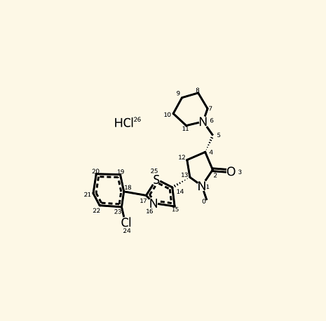 CN1C(=O)[C@@H](CN2CCCCC2)C[C@H]1c1cnc(-c2ccccc2Cl)s1.Cl